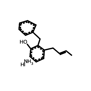 CC=CCc1cccc(O)c1Cc1ccccc1.I.N